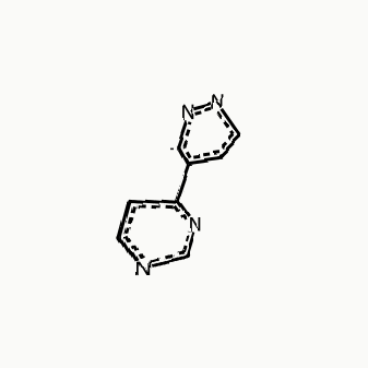 [c]1nnccc1-c1ccncn1